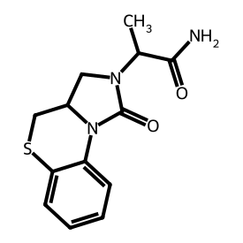 CC(C(N)=O)N1CC2CSc3ccccc3N2C1=O